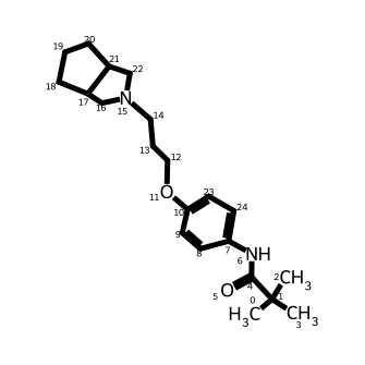 CC(C)(C)C(=O)Nc1ccc(OCCCN2CC3CCCC3C2)cc1